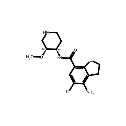 CO[C@H]1CNCC[C@H]1NC(=O)c1cc(Cl)c(N)c2c1OCC2